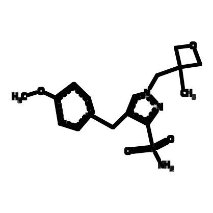 COc1ccc(Cc2cn(CC3(C)COC3)nc2S(N)(=O)=O)cc1